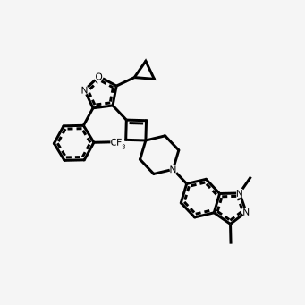 Cc1nn(C)c2cc(N3CCC4(C=C(c5c(-c6ccccc6C(F)(F)F)noc5C5CC5)C4)CC3)ccc12